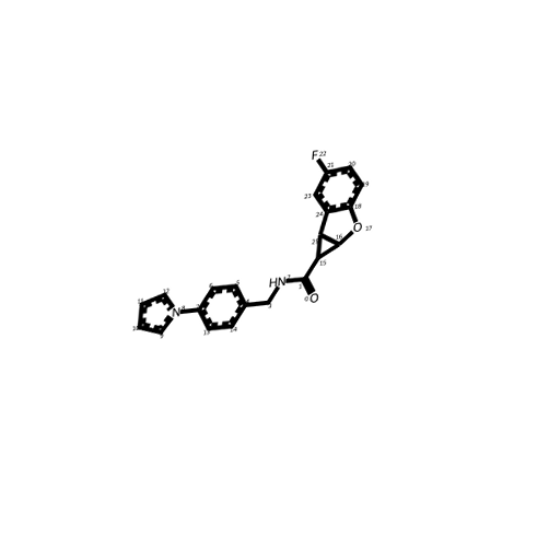 O=C(NCc1ccc(-n2cccc2)cc1)C1C2Oc3ccc(F)cc3C21